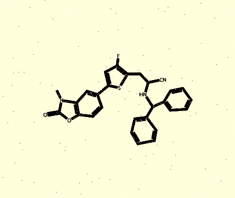 Cn1c(=O)oc2ccc(-c3cc(F)c(CC(C#N)NC(c4ccccc4)c4ccccc4)s3)cc21